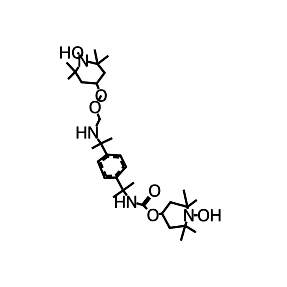 CC(C)(NCOOC1CC(C)(C)N(O)C(C)(C)C1)c1ccc(C(C)(C)NC(=O)OC2CC(C)(C)N(O)C(C)(C)C2)cc1